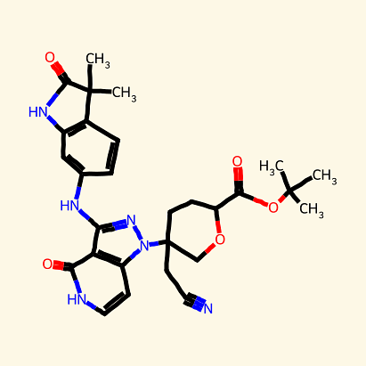 CC(C)(C)OC(=O)C1CCC(CC#N)(n2nc(Nc3ccc4c(c3)NC(=O)C4(C)C)c3c(=O)[nH]ccc32)CO1